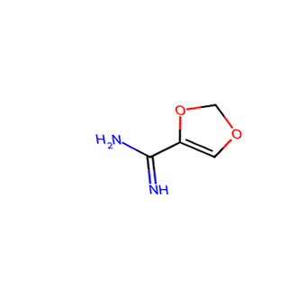 N=C(N)C1=COCO1